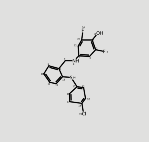 Oc1c(F)cc(NCc2ccccc2Sc2ccc(Cl)cc2)cc1F